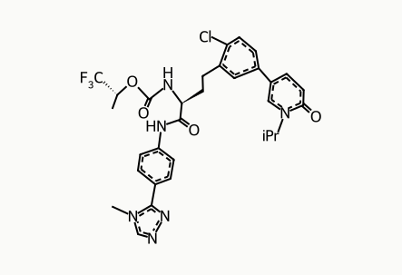 CC(C)n1cc(-c2ccc(Cl)c(CC[C@H](NC(=O)O[C@H](C)C(F)(F)F)C(=O)Nc3ccc(-c4nncn4C)cc3)c2)ccc1=O